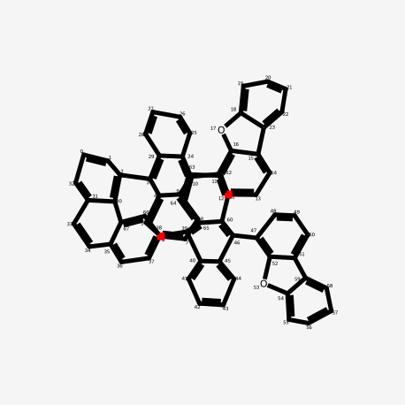 c1cc(-c2c3ccccc3c(-c3cccc4c3oc3ccccc34)c3ccccc23)c2c(c1)ccc1ccc(-c3c4ccccc4c(-c4cccc5c4oc4ccccc45)c4ccccc34)cc12